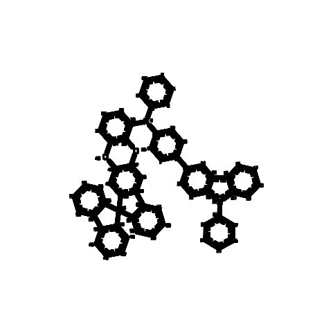 c1ccc(N(c2ccc(-c3ccc4c(c3)c3ccccc3n4-c3ccccc3)cc2)c2cccc3c2Oc2cc4c(cc2O3)C2(c3ccccc3-c3ccccc32)c2ccccc2-4)cc1